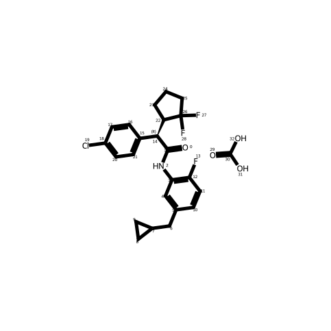 O=C(Nc1cc(CC2CC2)ccc1F)[C@@H](c1ccc(Cl)cc1)C1CCCC1(F)F.O=C(O)O